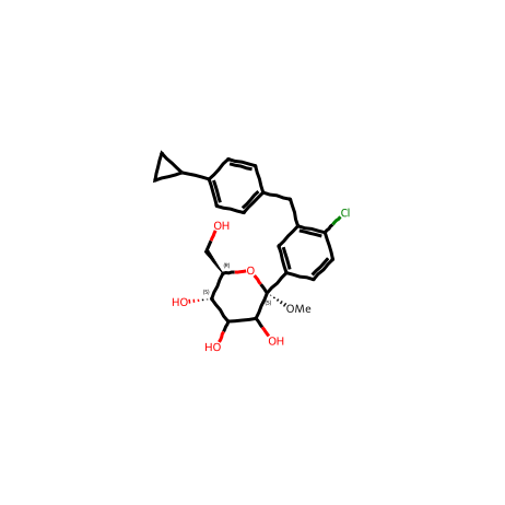 CO[C@@]1(c2ccc(Cl)c(Cc3ccc(C4CC4)cc3)c2)O[C@H](CO)[C@@H](O)C(O)C1O